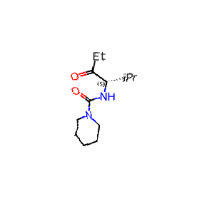 CCC(=O)[C@@H](NC(=O)N1CCCCC1)C(C)C